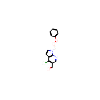 O=Cc1cnc2c(ccn2SOOc2ccccc2)c1Cl